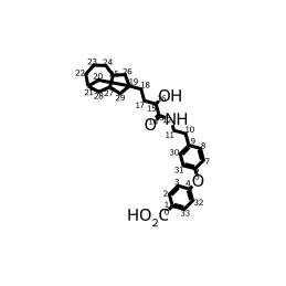 O=C(O)c1ccc(Oc2ccc(CCNC(=O)C(O)CCC34CC5CCCC(C3)C(C5)C4)cc2)cc1